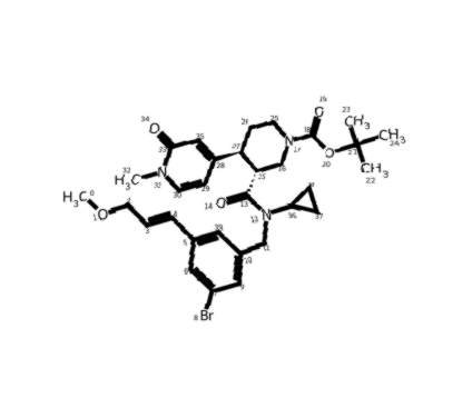 COC/C=C/c1cc(Br)cc(CN(C(=O)[C@H]2CN(C(=O)OC(C)(C)C)CC[C@@H]2c2ccn(C)c(=O)c2)C2CC2)c1